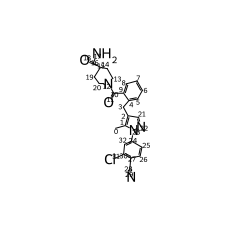 Cc1c(Cc2ccccc2C(=O)N2CCC(C(N)=O)CC2)cnn1-c1ccc(C#N)c(Cl)c1